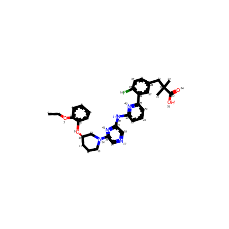 CCOc1ccccc1O[C@@H]1CCCN(c2cncc(Nc3cccc(-c4cc(CC(C)(C)C(=O)O)ccc4F)n3)n2)C1